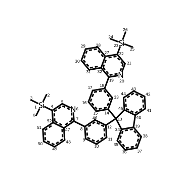 C[Si](C)(C)c1cnc(-c2cccc(C3(c4cccc(-c5ncc([Si](C)(C)C)c6ccccc56)c4)c4ccccc4-c4ccccc43)c2)c2ccccc12